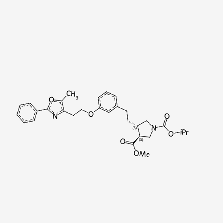 COC(=O)[C@@H]1CN(C(=O)OC(C)C)C[C@H]1CCc1cccc(OCCc2nc(-c3ccccc3)oc2C)c1